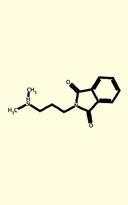 C[SiH](C)CCCN1C(=O)c2ccccc2C1=O